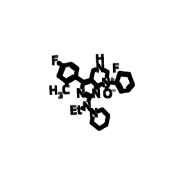 CCN(c1nc(-c2ccc(F)cc2C)c2c(n1)[N+]([O-])(c1ccccc1F)CNC2)N1CCCCC1